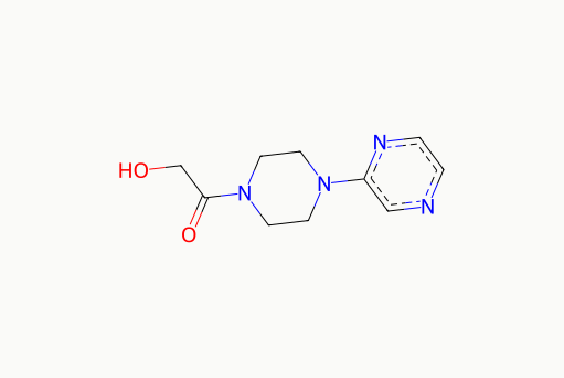 O=C(CO)N1CCN(c2cnccn2)CC1